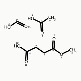 CC(=O)O.COC(=O)CCC(=O)O.O=CO